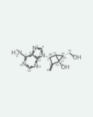 C=C1[C@H](n2cnc3c(N)ncnc32)C2[C@H](CO)[C@]12O